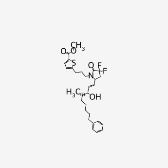 COC(=O)c1ccc(CCCN2C(=O)C(F)(F)CC2C=CC(O)[C@@H](C)CCCCCc2ccccc2)s1